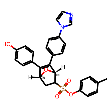 Cc1ccc(OS(=O)(=O)C2C[C@H]3O[C@@H]2C(c2ccc(-n4ccnc4)cc2)=C3c2ccc(O)cc2)cc1